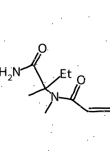 C=CC(=O)N(C)C(C)(CC)C(N)=O